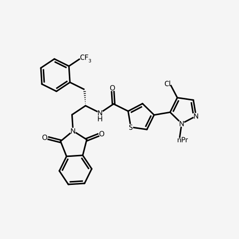 CCCn1ncc(Cl)c1-c1csc(C(=O)N[C@@H](Cc2ccccc2C(F)(F)F)CN2C(=O)c3ccccc3C2=O)c1